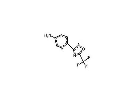 Nc1ccc(-c2noc(C(F)(F)F)n2)nc1